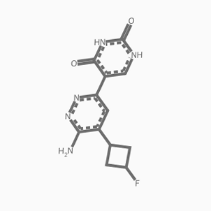 Nc1nnc(-c2c[nH]c(=O)[nH]c2=O)cc1C1CC(F)C1